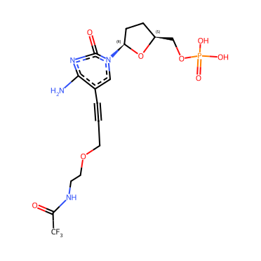 Nc1nc(=O)n([C@H]2CC[C@@H](COP(=O)(O)O)O2)cc1C#CCOCCNC(=O)C(F)(F)F